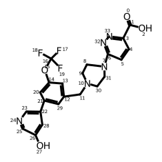 O=C(O)c1ccc(N2CCN(Cc3cc(OC(F)(F)F)cc(-c4cncc(O)c4)c3)CC2)nn1